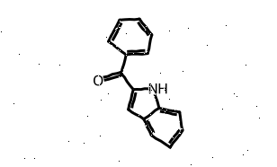 O=C(c1ccccc1)c1cc2ccccc2[nH]1